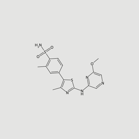 COc1cncc(Nc2nc(C)c(-c3ccc(S(N)(=O)=O)c(C)c3)s2)n1